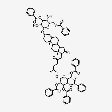 C[C@@H](CCC(=O)[C@@H](C)C1C(=O)CC2C3CCC4CC(O[C@@H]5OC(COC(=O)c6ccccc6)[C@@H](O)C(OC(=O)c6ccccc6)C5O)CCC4(C)C3CCC21C)CO[C@@H]1OC(COC(=O)c2ccccc2)[C@@H](OC(=O)c2ccccc2)C(OC(=O)c2ccccc2)C1OC(=O)c1ccccc1